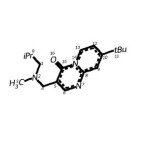 CC(C)CN(C)Cc1cnc2cc(C(C)(C)C)ccn2c1=O